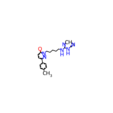 CN=C(NC#N)NCCCCCn1nc(-c2ccc(C)cc2)ccc1=O